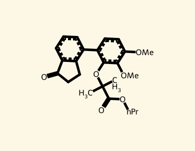 CCCOC(=O)C(C)(C)Oc1c(-c2cccc3c2CCC3=O)ccc(OC)c1OC